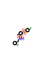 Cc1ccc(S(=O)(=O)c2ccc(F)cc2)cc1S(=O)(=O)NCCc1ccccc1F